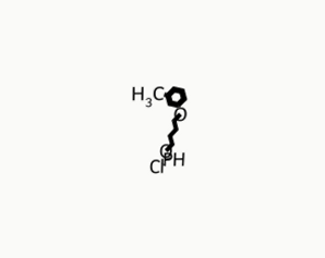 Cc1cccc(OCCCCOPCl)c1